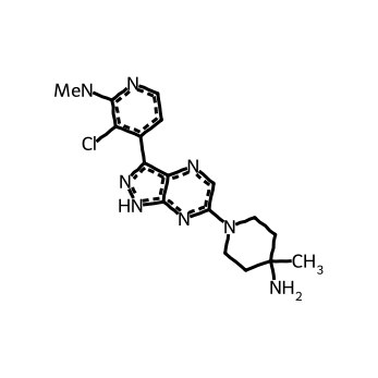 CNc1nccc(-c2n[nH]c3nc(N4CCC(C)(N)CC4)cnc23)c1Cl